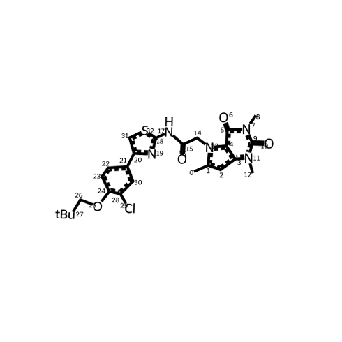 Cc1cc2c(c(=O)n(C)c(=O)n2C)n1CC(=O)Nc1nc(-c2ccc(OCC(C)(C)C)c(Cl)c2)cs1